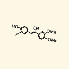 COc1ccc(/C(C#N)=C/c2ccc(O)c(F)c2)cc1OC